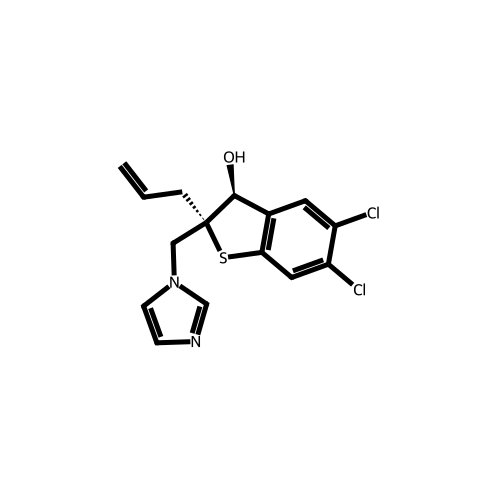 C=CC[C@@]1(Cn2ccnc2)Sc2cc(Cl)c(Cl)cc2[C@@H]1O